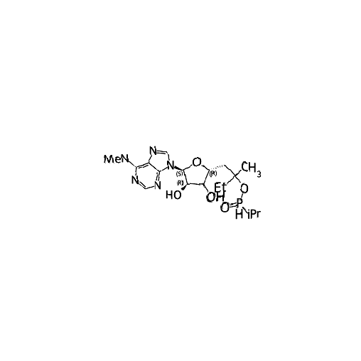 CCC(C)(C[C@H]1O[C@H](n2cnc3c(NC)ncnc32)[C@H](O)C1O)O[PH](=O)C(C)C